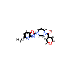 Cc1ccc2oc(N3CCCN(C(=O)C4CCOCC4)CC3)nc2n1